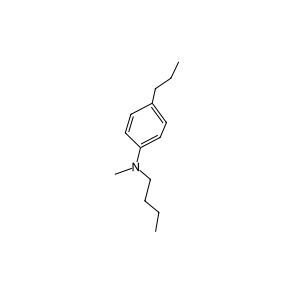 CCCCN(C)c1ccc(CCC)cc1